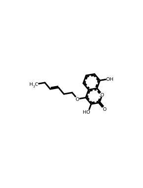 CCC=CCCOc1c(O)c(=O)oc2c(O)cccc12